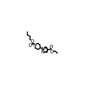 CCCCOC(=O)N1CCC(n2cc(C(=O)OCC)cn2)CC1